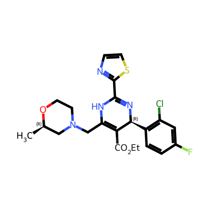 CCOC(=O)C1=C(CN2CCO[C@H](C)C2)NC(c2nccs2)=N[C@H]1c1ccc(F)cc1Cl